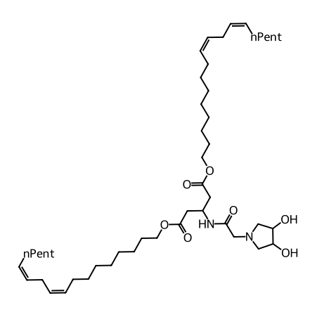 CCCCC/C=C\C/C=C\CCCCCCCCOC(=O)CC(CC(=O)OCCCCCCCC/C=C\C/C=C\CCCCC)NC(=O)CN1CC(O)C(O)C1